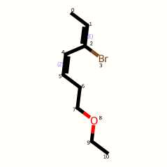 C/C=C(Br)\C=C/CCOCC